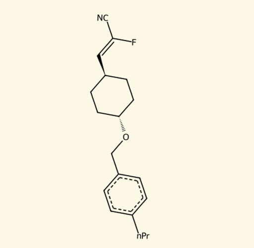 CCCc1ccc(CO[C@H]2CC[C@H](C=C(F)C#N)CC2)cc1